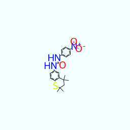 CC1(C)CC(C)(C)c2cc(NC(=O)Nc3ccc([N+](=O)[O-])cc3)ccc2S1